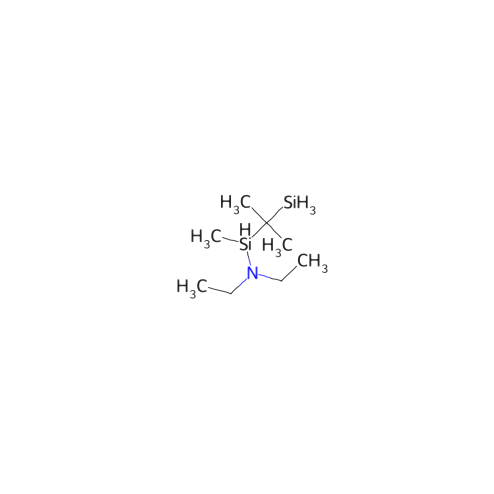 CCN(CC)[SiH](C)C(C)(C)[SiH3]